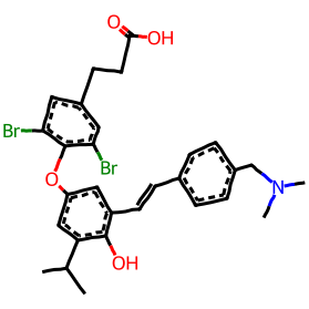 CC(C)c1cc(Oc2c(Br)cc(CCC(=O)O)cc2Br)cc(/C=C/c2ccc(CN(C)C)cc2)c1O